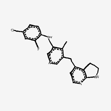 Cc1c(Cc2ccnc3c2CCN3)cncc1Nc1ccc(Cl)cc1F